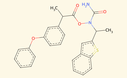 CC(C(=O)ON(C(N)=O)C(C)c1cc2ccccc2s1)c1cccc(Oc2ccccc2)c1